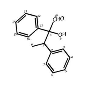 C[C](c1ccccc1)C(O)(C=O)c1ccccc1